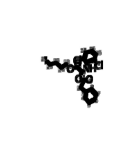 O=C(Cc1ccccc1)OC(Nc1c(Cl)cccc1Cl)C(=O)OCCCCI